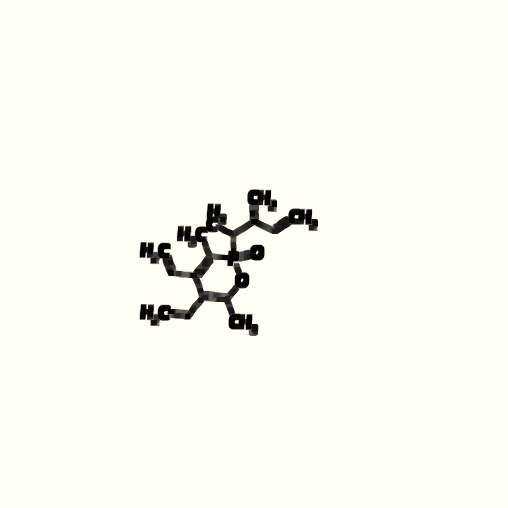 C=CC(=C)C(C)P1(=O)OC(C)=C(C=C)C(C=C)=C1C